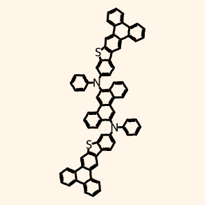 c1ccc(N(c2ccc3c(c2)sc2cc4c5ccccc5c5ccccc5c4cc23)c2cc3c4ccccc4c(N(c4ccccc4)c4ccc5c(c4)sc4cc6c7ccccc7c7ccccc7c6cc45)cc3c3ccccc23)cc1